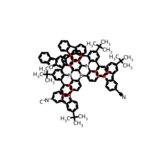 [C-]#[N+]c1ccc2c(c1)c1cc(C(C)(C)C)ccc1n2-c1ccc2c(c1)N(c1c(-c3ccccc3)cc(C(C)(C)C)cc1-c1ccccc1)c1cc(C3(c4ccc5oc6ccccc6c5c4)c4ccccc4-c4ccccc43)cc3c1B2c1ccc(-n2c4ccc(C#N)cc4c4cc(C(C)(C)C)ccc42)cc1N3c1c(-c2ccccc2)cc(C(C)(C)C)cc1-c1ccccc1